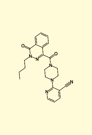 CCCCn1nc(C(=O)N2CCN(c3ncccc3C#N)CC2)c2ccccc2c1=O